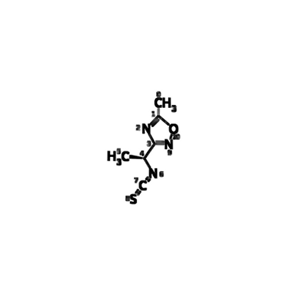 Cc1nc([C@H](C)N=C=S)no1